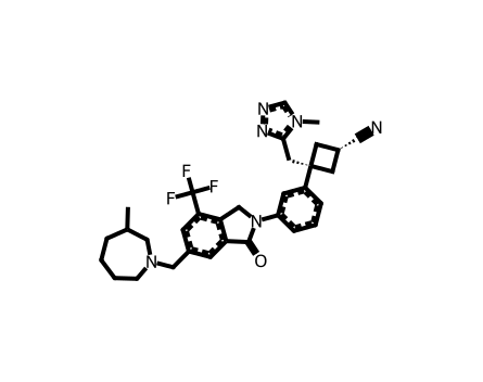 CC1CCCCN(Cc2cc3c(c(C(F)(F)F)c2)CN(c2cccc([C@]4(Cc5nncn5C)C[C@@H](C#N)C4)c2)C3=O)C1